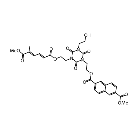 COC(=O)/C(C)=C/C=C/C(=O)OCCn1c(=O)n(CCO)c(=O)n(CCOC(=O)c2ccc3cc(C(=O)OC)ccc3c2)c1=O